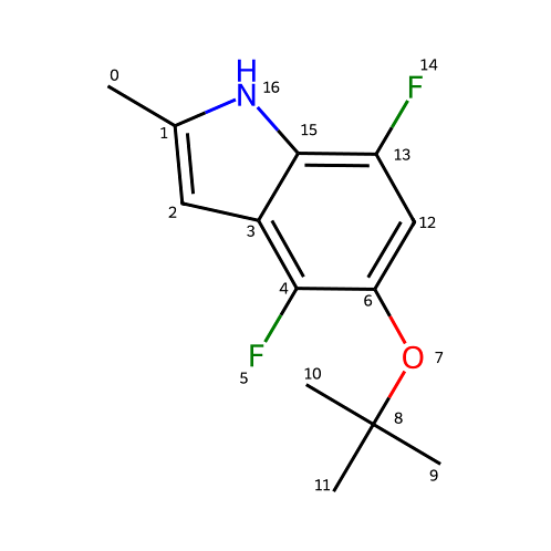 Cc1cc2c(F)c(OC(C)(C)C)cc(F)c2[nH]1